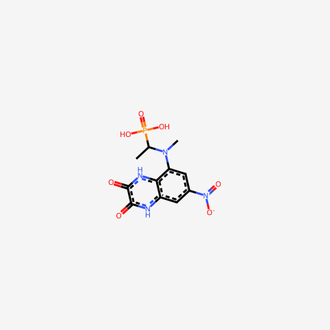 CC(N(C)c1cc([N+](=O)[O-])cc2[nH]c(=O)c(=O)[nH]c12)P(=O)(O)O